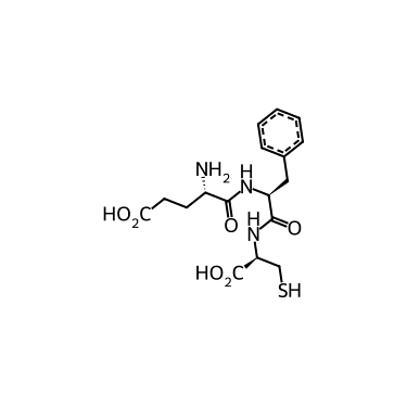 N[C@@H](CCC(=O)O)C(=O)N[C@@H](Cc1ccccc1)C(=O)N[C@@H](CS)C(=O)O